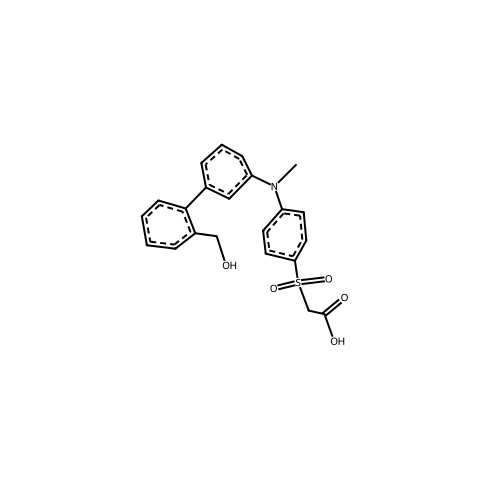 CN(c1ccc(S(=O)(=O)CC(=O)O)cc1)c1cccc(-c2ccccc2CO)c1